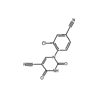 N#Cc1ccc(-n2cc(C#N)c(=O)[nH]c2=O)c(Cl)c1